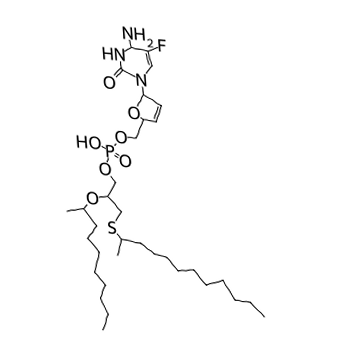 CCCCCCCCCCC(C)SCC(COP(=O)(O)OCC1C=CC(N2C=C(F)C(N)NC2=O)O1)OC(C)CCCCCCCC